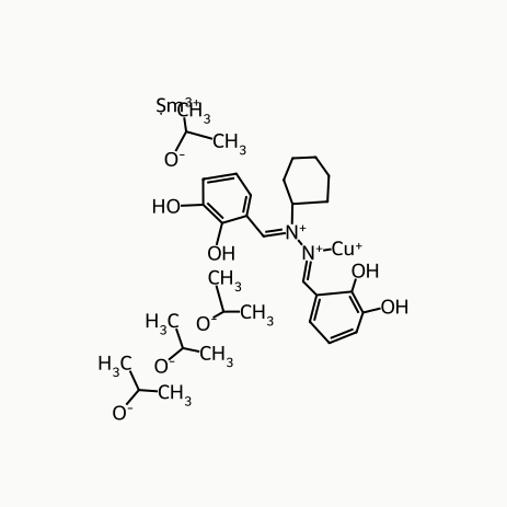 CC(C)[O-].CC(C)[O-].CC(C)[O-].CC(C)[O-].Oc1cccc(C=[N+]([Cu+])[N+](=Cc2cccc(O)c2O)C2CCCCC2)c1O.[Sm+3]